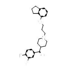 O=C(c1ccc(F)c(F)c1)C1CCN(CCCOc2cccc3c2CCC3)CC1